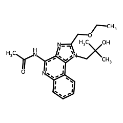 CCOCc1nc2c(NC(C)=O)nc3ccccc3c2n1CC(C)(C)O